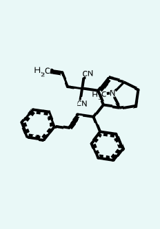 C=CCC(C#N)(C#N)C1=CC2CCC(C1C(/C=C/c1ccccc1)c1ccccc1)N2C